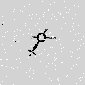 CC(=O)Nc1cc(C#C[Si](C)(C)C)c([N+](=O)[O-])cc1Br